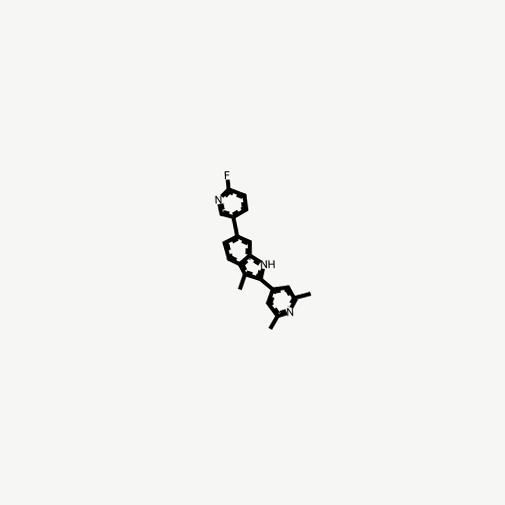 Cc1cc(-c2[nH]c3cc(-c4ccc(F)nc4)ccc3c2C)cc(C)n1